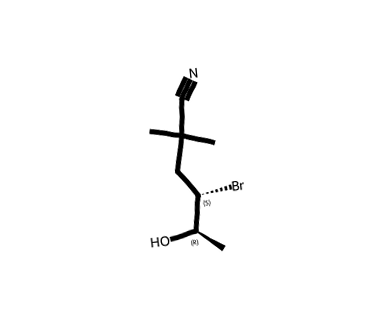 C[C@@H](O)[C@@H](Br)CC(C)(C)C#N